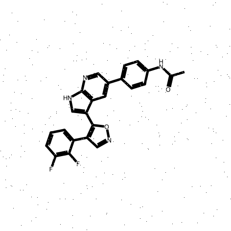 CC(=O)Nc1ccc(-c2cnc3[nH]cc(-c4oncc4-c4cccc(F)c4F)c3c2)cc1